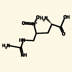 N=C(N)NCC(C[C@H](N)C(=O)O)[N+](=O)[O-]